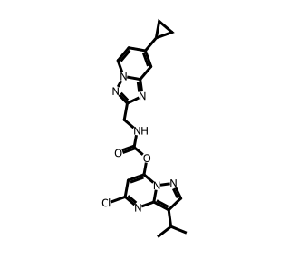 CC(C)c1cnn2c(OC(=O)NCc3nc4cc(C5CC5)ccn4n3)cc(Cl)nc12